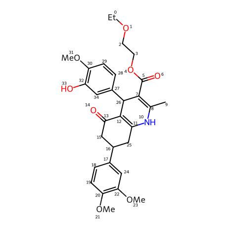 CCOCCOC(=O)C1=C(C)NC2=C(C(=O)CC(c3ccc(OC)c(OC)c3)C2)C1c1ccc(OC)c(O)c1